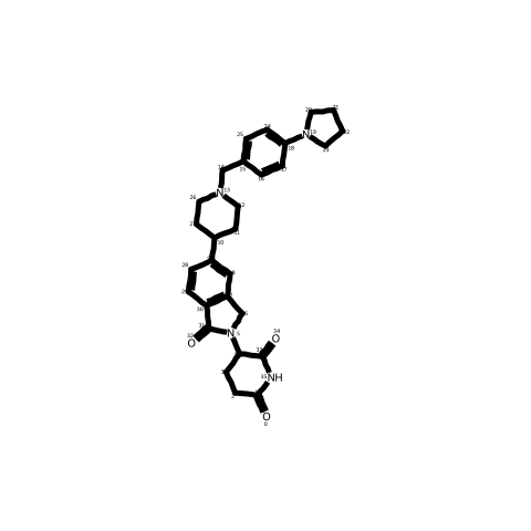 O=C1CCC(N2Cc3cc(C4CCN(Cc5ccc(N6CCCC6)cc5)CC4)ccc3C2=O)C(=O)N1